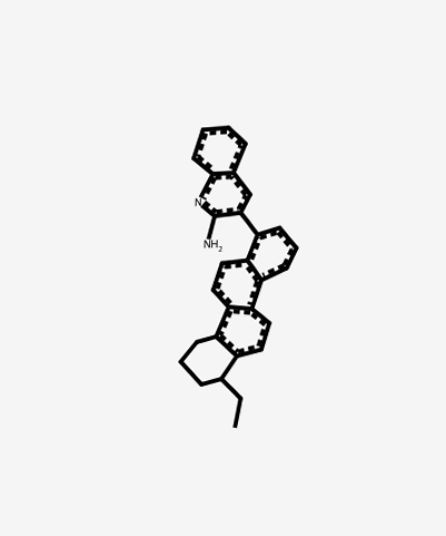 CCC1CCCc2c1ccc1c2ccc2c(-c3cc4ccccc4nc3N)cccc21